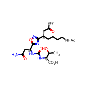 CCCC(=O)C[C@@H](CCCCNC(C)=O)c1noc([C@H](CC(N)=O)NC(=O)N[C@H](C(=O)O)C(C)O)n1